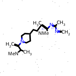 C=N/C(C)=N\C(NC)=C(/C)CCC1CCN(C(=C)C(C)NC)CC1